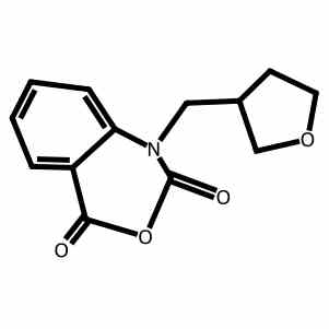 O=c1oc(=O)n(CC2CCOC2)c2ccccc12